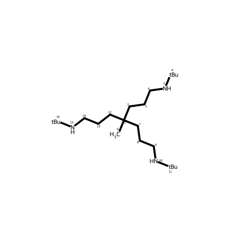 CC(CCCNC(C)(C)C)(CCCNC(C)(C)C)CCCNC(C)(C)C